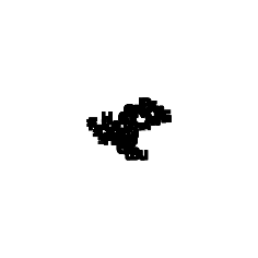 CC(C)N1C(=O)C(N(C)C(=O)[C@@H](Cc2cccc(F)c2)NC(=O)OC(C)(C)C)CCc2cc(F)ccc21